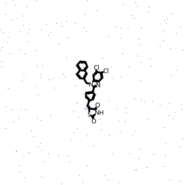 O=C1NC(=O)/C(=C\c2ccc(-c3nc4cc(Cl)c(Cl)cc4n3Cc3ccc4ccccc4c3)cc2)S1